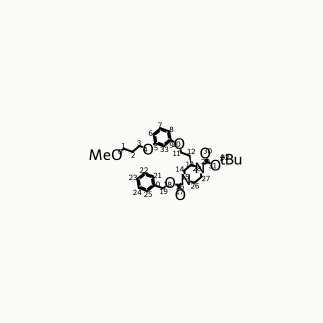 COCCCOc1cccc(OCC[C@@H]2CN(C(=O)OCc3ccccc3)CCN2C(=O)OC(C)(C)C)c1